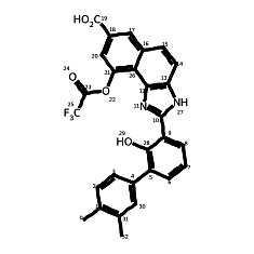 Cc1ccc(-c2cccc(-c3nc4c(ccc5cc(C(=O)O)cc(OC(=O)C(F)(F)F)c54)[nH]3)c2O)cc1C